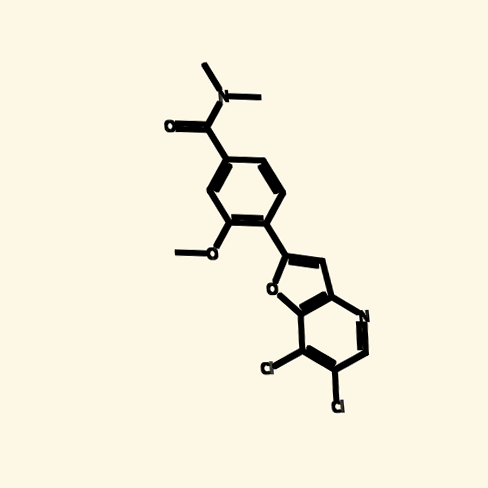 COc1cc(C(=O)N(C)C)ccc1-c1cc2ncc(Cl)c(Cl)c2o1